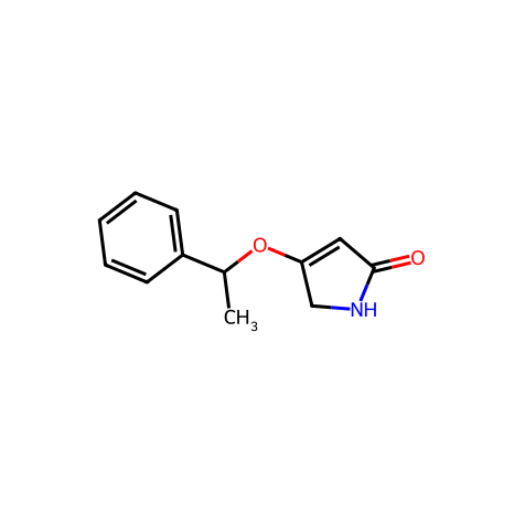 CC(OC1=CC(=O)NC1)c1ccccc1